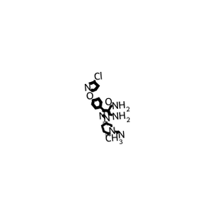 C[C@@H]1CC[C@@H](n2nc(-c3ccc(Oc4ccc(Cl)cn4)cc3)c(C(N)=O)c2N)CN1C#N